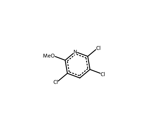 [CH2]Oc1nc(Cl)c(Cl)cc1Cl